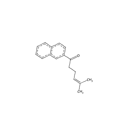 CC(C)=CCCC(=O)c1ccc2ccccc2c1